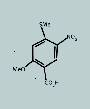 COc1cc(SC)c([N+](=O)[O-])cc1C(=O)O